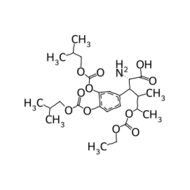 CCOC(=O)OC(C)C(C)C(c1ccc(OC(=O)OCC(C)C)c(OC(=O)OCC(C)C)c1)[C@H](N)C(=O)O